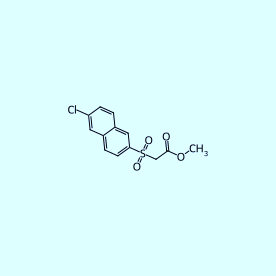 COC(=O)CS(=O)(=O)c1ccc2cc(Cl)ccc2c1